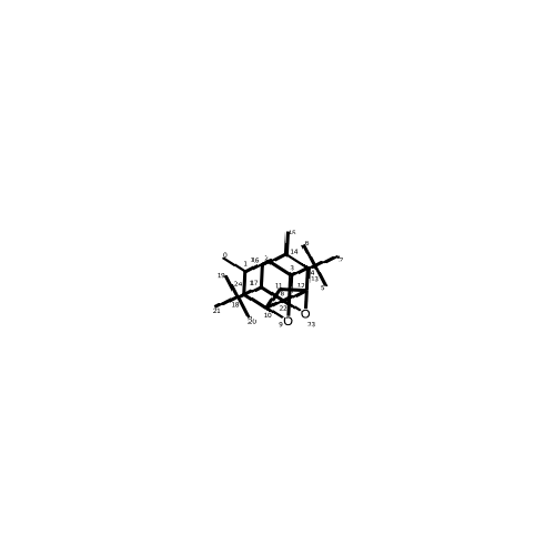 CC1CC(C(C)(C)C)C2OC2(CC23CC(C)CC(C(C)(C)C)C2O3)C1